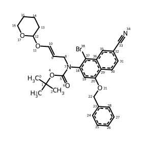 CC(C)(C)OC(=O)N(CC=COC1CCCCO1)c1cc(OCc2ccccc2)c2ccc(C#N)cc2c1Br